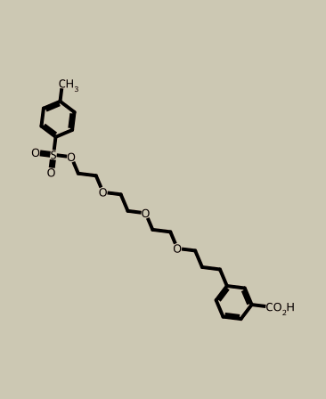 Cc1ccc(S(=O)(=O)OCCOCCOCCOCCCc2cccc(C(=O)O)c2)cc1